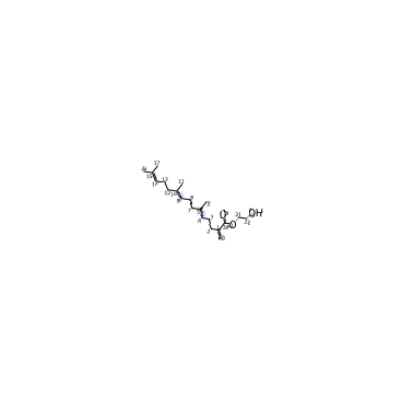 C=C(CC/C=C(\C)CC/C=C(\C)CCC=C(C)C)C(=O)OCCO